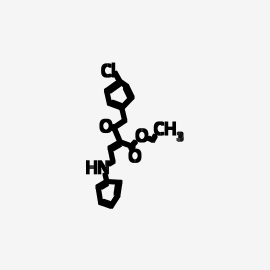 CCOC(=O)C(=CCNc1ccccc1)C(=O)Cc1ccc(Cl)cc1